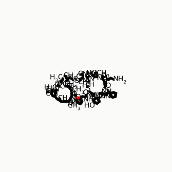 COc1cc2cc(c1Cl)N(C)C(=O)C[C@H](OC(=O)[C@H](C)N(C)C(=O)CCSSC(C)(C)[C@H](NC(=O)[C@@H]1CSSC[C@H](NC(=O)[C@H](N)Cc3ccccc3)C(=O)N[C@@H](Cc3ccc(O)cc3)C(=O)N[C@H](Cc3c[nH]c4ccccc34)C(=O)N[C@@H](CCCCN)C(=O)N[C@@H]([C@@H](C)O)C(=O)N1)C(N)=O)[C@]1(C)O[C@H]1[C@H](C)[C@@H]1C[C@@](O)(NC(=O)O1)[C@H](OC)/C=C/C=C(\C)C2